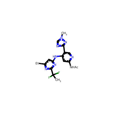 CCc1cc(Nc2cc(NC(C)=O)ncc2-c2ncn(C)n2)nc(C(C)(F)F)n1